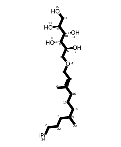 C/C(=C\COC[C@H](O)[C@H](O)[C@@H](O)[C@@H](O)CO)CCCC(C)CCCC(C)C